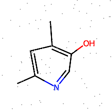 Cc1cc(C)c(O)cn1